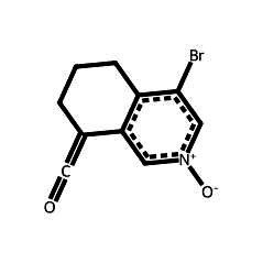 O=C=C1CCCc2c(Br)c[n+]([O-])cc21